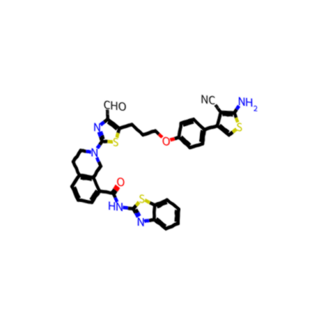 N#Cc1c(-c2ccc(OCCCc3sc(N4CCc5cccc(C(=O)Nc6nc7ccccc7s6)c5C4)nc3C=O)cc2)csc1N